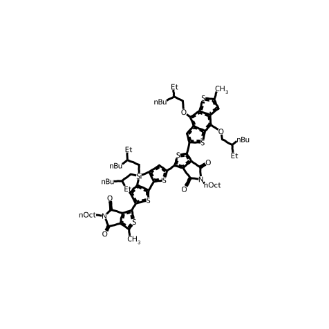 CCCCCCCCN1C(=O)c2c(C)sc(-c3cc4c(s3)-c3sc(-c5sc(-c6cc7c(OCC(CC)CCCC)c8sc(C)cc8c(OCC(CC)CCCC)c7s6)c6c5C(=O)N(CCCCCCCC)C6=O)cc3[Si]4(CC(CC)CCCC)CC(CC)CCCC)c2C1=O